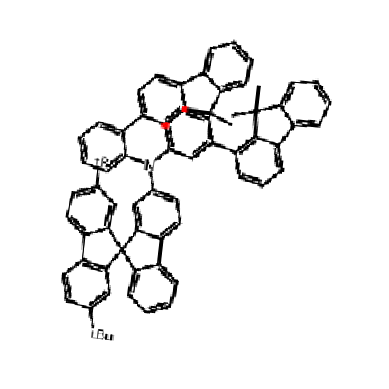 CC(C)(C)c1ccc2c(c1)C1(c3ccccc3-c3ccc(N(c4cccc(-c5cccc6c5C(C)(C)c5ccccc5-6)c4)c4ccccc4-c4ccc5c(c4)C(C)(C)c4ccccc4-5)cc31)c1cc(C(C)(C)C)ccc1-2